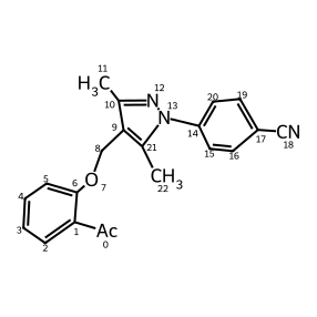 CC(=O)c1ccccc1OCc1c(C)nn(-c2ccc(C#N)cc2)c1C